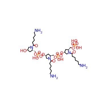 NCCCCCC(=O)N1C[C@H](O)C[C@H]1COP(=O)(O)OO[C@@H]1C[C@@H](COP(=O)(O)OO[C@@H]2C[C@@H](COP(=O)(O)OO)N(C(=O)CCCCCN)C2)N(C(=O)CCCCCN)C1